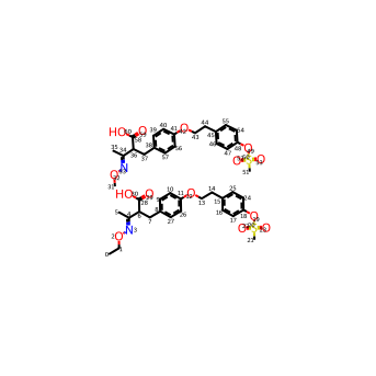 CCON=C(C)C(Cc1ccc(OCCc2ccc(OS(C)(=O)=O)cc2)cc1)C(=O)O.CON=C(C)C(Cc1ccc(OCCc2ccc(OS(C)(=O)=O)cc2)cc1)C(=O)O